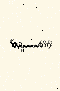 CCOC(=O)CN(CCCCCCCCNC(=O)[C@@H](C)c1ccc(CC(C)C)cc1)CC(=O)OCC